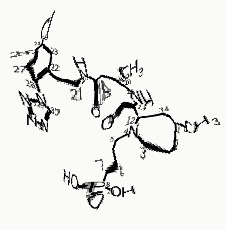 C[C@H]1CCN(CCCP(=O)(O)O)[C@@H](C(=O)N[C@@H](C)C(=O)NCc2cc(Cl)ccc2-n2cnnn2)C1